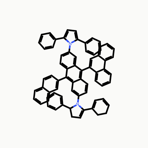 C1=CCCC(C2=CCC(c3ccccc3)N2c2ccc3c(-c4cc5ccccc5c5ccccc45)c4cc(-n5c(-c6ccccc6)ccc5-c5ccccc5)ccc4c(-c4ccc5ccccc5c4)c3c2)=C1